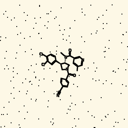 Cc1cncc(C(=O)N(C)[C@@H]2CN(C(=O)c3ccc(C#N)cc3)C[C@H]2c2ccc(Cl)c(Cl)c2)c1